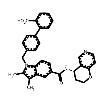 Cc1c(C)n(Cc2ccc(-c3ccccc3C(=O)O)cc2)c2ccc(C(=O)N[C@H]3CCOc4ccncc43)cc12